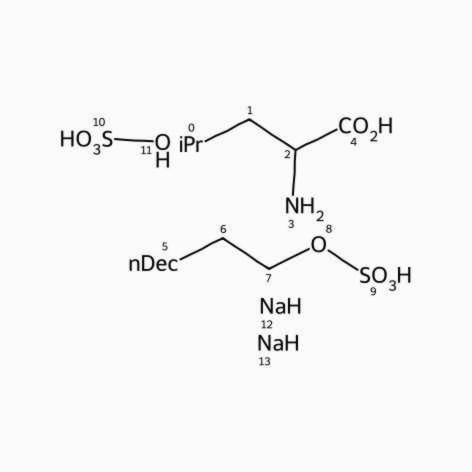 CC(C)CC(N)C(=O)O.CCCCCCCCCCCCOS(=O)(=O)O.O=S(=O)(O)O.[NaH].[NaH]